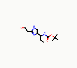 CCC(NC(=O)OC(C)(C)C)c1c[nH]c(CCO)n1